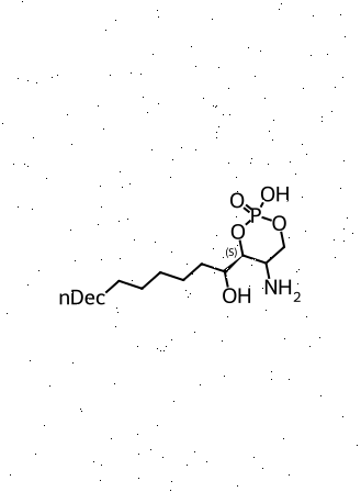 CCCCCCCCCCCCCCCC(O)[C@H]1OP(=O)(O)OCC1N